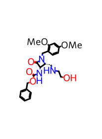 COc1ccc(CN2C(=O)[C@@H](NC(=O)OCc3ccccc3)[C@H]2CNCCO)c(OC)c1